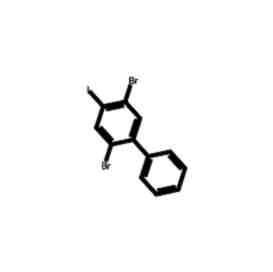 Brc1cc(-c2ccccc2)c(Br)cc1I